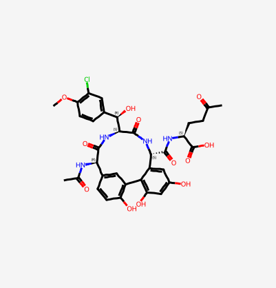 COc1ccc([C@@H](O)[C@@H]2NC(=O)[C@H](NC(C)=O)c3ccc(O)c(c3)-c3c(O)cc(O)cc3[C@@H](C(=O)N[C@@H](CCC(C)=O)C(=O)O)NC2=O)cc1Cl